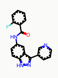 O=C(Nc1ccc2[nH]nc(-c3cccnc3)c2c1)c1ccccc1F